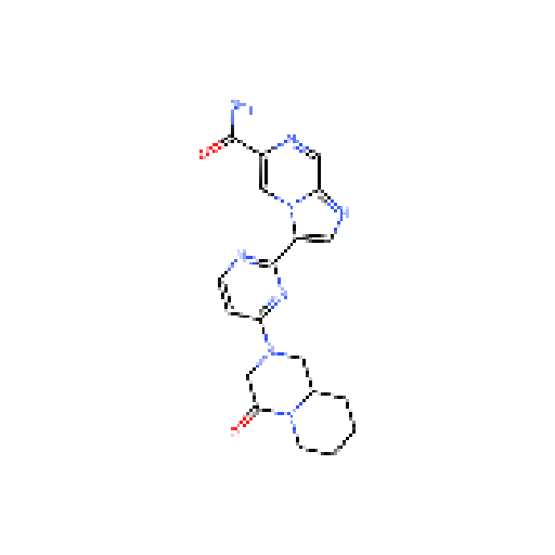 NC(=O)c1cn2c(-c3nccc(N4CC(=O)N5CCCCC5C4)n3)cnc2cn1